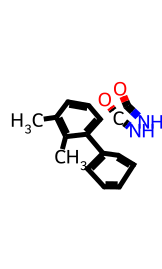 Cc1cccc(-c2ccccc2)c1C.N=C=O.N=C=O